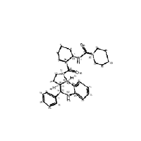 O=C(N[C@@H]1CCCC[C@@H]1C(=O)N1CC[C@@H]2[C@H](c3ccccc3)Nc3ccccc3[C@@H]21)N1CCCCC1